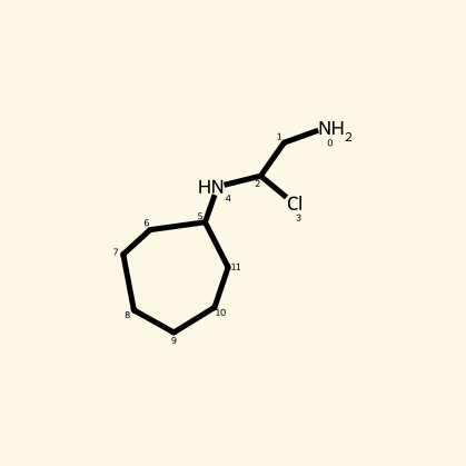 NCC(Cl)NC1CCCCCC1